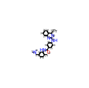 Cc1ccc(CN(C)C)cc1NC(=O)c1ccc(Nc2nc(C(C)C)c3ccccc3n2)cc1